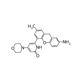 Cc1cc2c(c(-c3cc(N4CCOCC4)cc(=O)[nH]3)c1)Oc1ccc(N)cc1C2